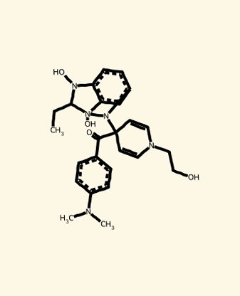 CCC1N(O)c2ccc3cc2[N+]1(O)N3C1(C(=O)c2ccc(N(C)C)cc2)C=CN(CCO)C=C1